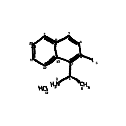 C[C@@H](N)c1c(I)ccc2ccccc12.Cl